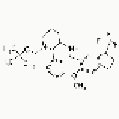 COc1cc2c(cc1CNC1CCCN(COC(C)(C)C)C1c1ccccc1)C(C(F)(F)F)CC2